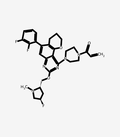 C=CC(=O)N1CCN(c2nc(OC[C@@H]3C[C@@H](F)CN3C)nc3cc(-c4cccc(F)c4F)c4c(c23)OCCC4)CC1